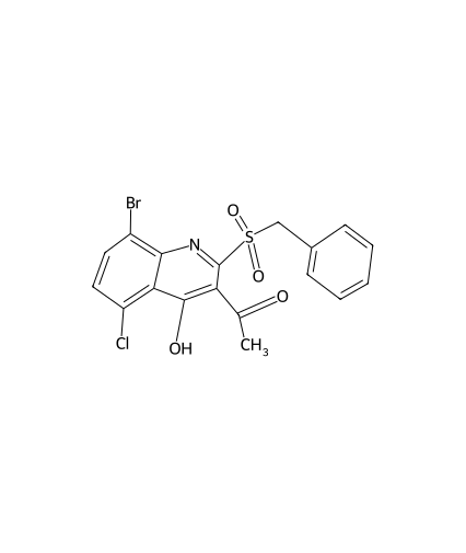 CC(=O)c1c(S(=O)(=O)Cc2ccccc2)nc2c(Br)ccc(Cl)c2c1O